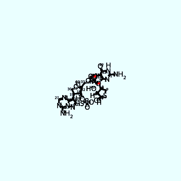 Nc1nc2c(nnn2[C@@]23CS[C@H](COP(=O)(S)O[C@H]4C(c5cnn6c(N)ncnc56)CO[C@@H]4COP(=O)(S)O2)[C@H]3O)c(=O)[nH]1